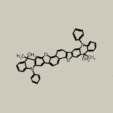 CC1(C)c2ccccc2N(c2ccccc2)c2cc3c(cc21)oc1c3ccc2c1ccc1c3cc4c(cc3oc12)C(C)(C)c1ccccc1N4c1ccccc1